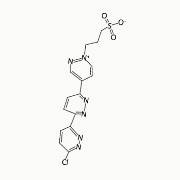 O=S(=O)([O-])CCC[n+]1ccc(-c2ccc(-c3ccc(Cl)nn3)nn2)cn1